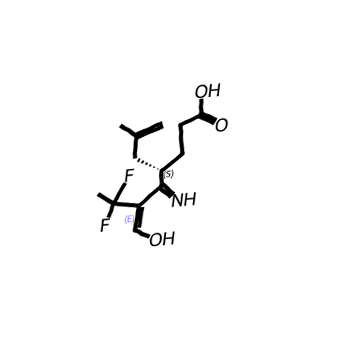 C=C(C)C[C@H](CCC(=O)O)C(=N)/C(=C\O)C(C)(F)F